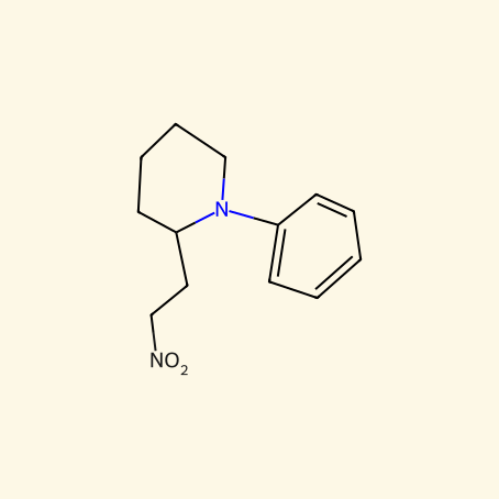 O=[N+]([O-])CCC1CCCCN1c1ccccc1